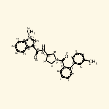 Cc1cccc(-c2ccccc2C(=O)N2CC[C@@H](NC(=O)c3nn(C)c4ccccc34)C2)c1